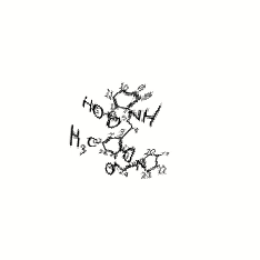 Cc1cc(CCNc2ccccc2C(=O)O)c2oc(N3CCCC3)cc(=O)c2c1